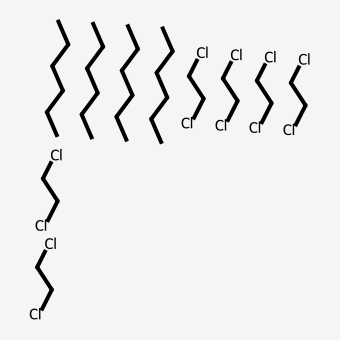 CCCCCC.CCCCCC.CCCCCC.CCCCCC.ClCCCl.ClCCCl.ClCCCl.ClCCCl.ClCCCl.ClCCCl